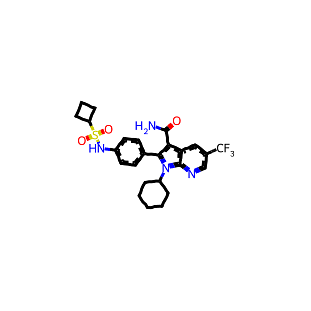 NC(=O)c1c(-c2ccc(NS(=O)(=O)C3CCC3)cc2)n(C2CCCCC2)c2ncc(C(F)(F)F)cc12